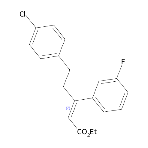 CCOC(=O)/C=C(/CCc1ccc(Cl)cc1)c1cccc(F)c1